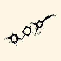 CC(C)(C)C#Cc1cc(N[C@H]2CC[C@H](Oc3ccc(=O)[nH]n3)CC2)c(C(=O)O)s1